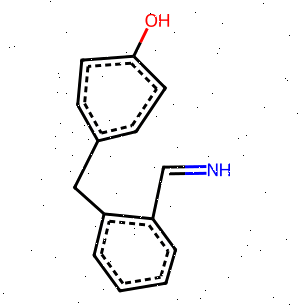 N=Cc1ccccc1Cc1ccc(O)cc1